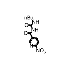 CCCCNC(=O)NC(=O)c1ccc([N+](=O)[O-])nc1